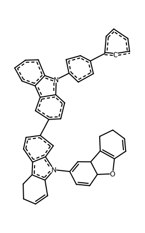 C1=CC2=C(CC1)C1C=C(n3c4c(c5ccc(-c6ccc7c(c6)c6ccccc6n7-c6ccc(-c7ccccc7)cc6)cc53)CCC=C4)C=CC1O2